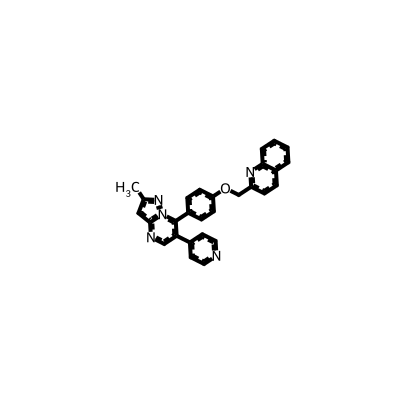 Cc1cc2ncc(-c3ccncc3)c(-c3ccc(OCc4ccc5ccccc5n4)cc3)n2n1